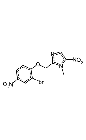 Cn1c([N+](=O)[O-])cnc1COc1ccc([N+](=O)[O-])cc1Br